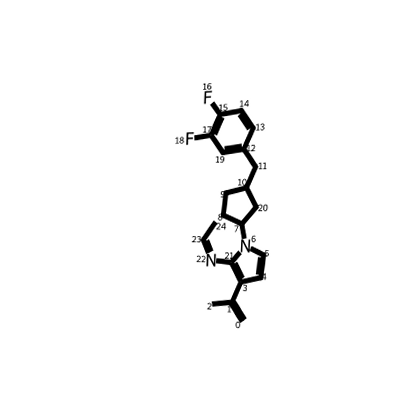 C=C(C)c1ccn(C2CCC(Cc3ccc(F)c(F)c3)C2)c1/N=C\C